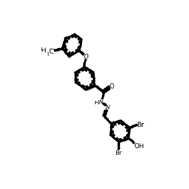 Cc1cccc(Oc2cccc(C(=O)NN=Cc3cc(Br)c(O)c(Br)c3)c2)c1